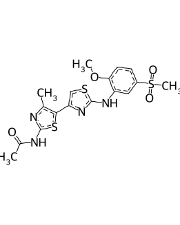 COc1ccc(S(C)(=O)=O)cc1Nc1nc(-c2sc(NC(C)=O)nc2C)cs1